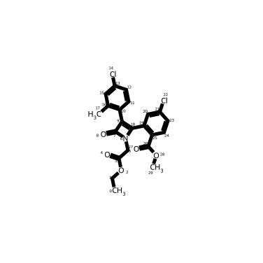 CCOC(=O)CN1C(=O)C(c2ccc(Cl)cc2C)=C1c1cc(Cl)ccc1C(=O)OC